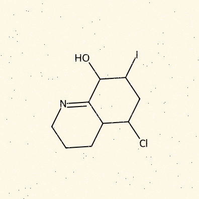 OC1C2=NCCCC2C(Cl)CC1I